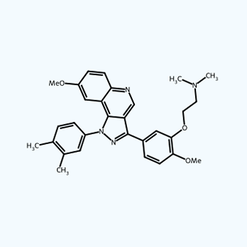 COc1ccc2ncc3c(-c4ccc(OC)c(OCCN(C)C)c4)nn(-c4ccc(C)c(C)c4)c3c2c1